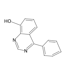 Oc1cccc2c(-c3ccccc3)ncnc12